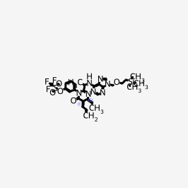 C=C/C=c1/c(=O)n(-c2cccc(OS(=O)(=O)C(F)(F)F)c2)c(C(C)Nc2ncnc3c2ncn3COCC[Si](C)(C)C)n/c1=C/C